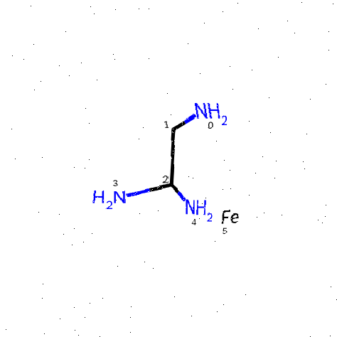 NCC(N)N.[Fe]